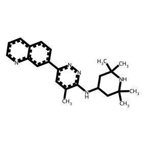 Cc1cc(-c2ccc3cccnc3c2)nnc1NC1CC(C)(C)NC(C)(C)C1